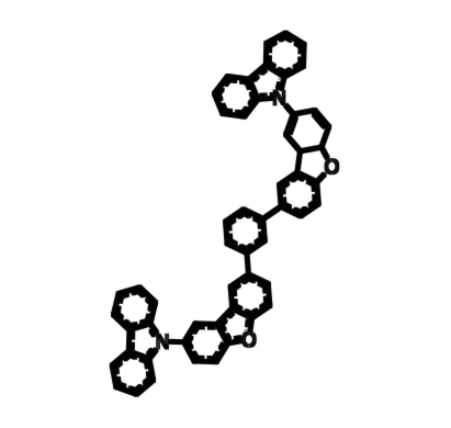 C1=CC2Oc3ccc(-c4cccc(-c5ccc6oc7ccc(-n8c9ccccc9c9ccccc98)cc7c6c5)c4)cc3C2C=C1n1c2ccccc2c2ccccc21